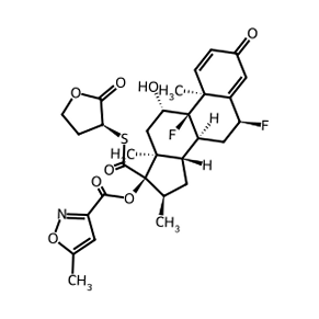 Cc1cc(C(=O)O[C@]2(C(=O)S[C@H]3CCOC3=O)[C@H](C)C[C@H]3[C@@H]4C[C@H](F)C5=CC(=O)C=C[C@]5(C)[C@@]4(F)[C@@H](O)C[C@@]32C)no1